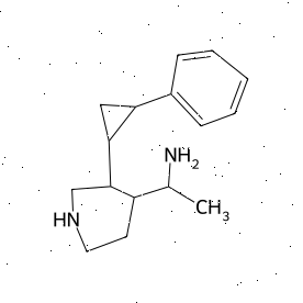 CC(N)C1CCNCC1C1CC1c1ccccc1